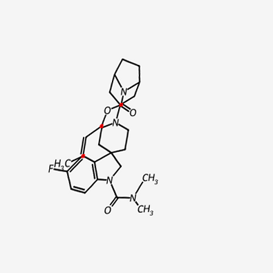 CC=CCOC(=O)N1C2CCC1CC(N1CCC3(CC1)CN(C(=O)N(C)C)c1ccc(F)cc13)C2